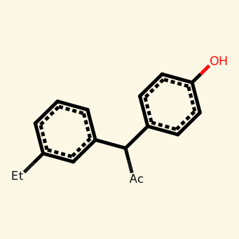 CCc1cccc(C(C(C)=O)c2ccc(O)cc2)c1